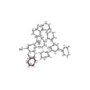 N#Cc1cc2c(c3c1C1c4ccccc4C3c3ccccc31)c1cc(-c3c(-c4ccccc4)cc(-c4ccccc4)cc3-c3ccccc3)cc3c4c5c(ncc4n2c13)oc1ccccc15